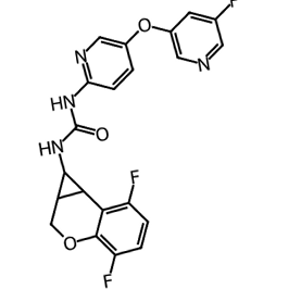 O=C(Nc1ccc(Oc2cncc(F)c2)cn1)NC1C2COc3c(F)ccc(F)c3C21